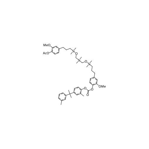 COc1cc(CCC[Si](C)(C)OC[Si](C)(C)CO[Si](C)(C)CCCc2ccc(OC(=O)Oc3ccc(C(C)(C)c4cccc(C)c4)cc3C)c(OC)c2)ccc1OC(C)=O